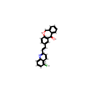 O=C1c2ccccc2COc2ccc(/C=C/c3ccc4c(F)cccc4n3)cc21